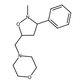 CN1OC(CN2CCOCC2)CC1c1ccccc1